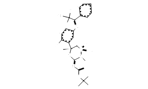 CN1/C(=N\C(=O)OC(C)(C)C)N[C@](C)(c2cc(/N=C(/c3ccccc3)C(F)(F)F)ccc2F)CS1(=O)=O